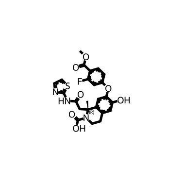 COC(=O)c1ccc(Oc2cc3c(cc2O)CCN(C(=O)O)[C@]3(C)CC(=O)Nc2nccs2)cc1F